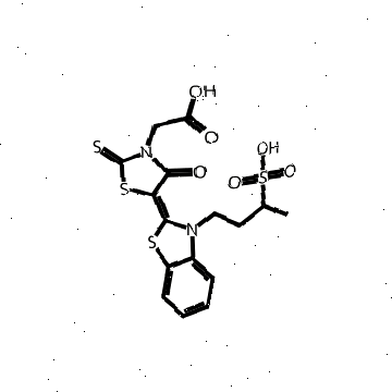 CC(CCN1C(=C2SC(=S)N(CC(=O)O)C2=O)Sc2ccccc21)S(=O)(=O)O